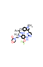 C=C(CNc1cc(Nc2nccc(-c3cn(C)c4ccccc34)n2)c(OC(F)F)cc1N(C)CCN1CCOCC1=O)C(C)=O